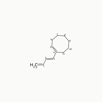 C=CC=C/C1=C/CCCCCC1